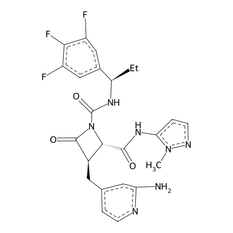 CC[C@@H](NC(=O)N1C(=O)[C@H](Cc2ccnc(N)c2)[C@H]1C(=O)Nc1ccnn1C)c1cc(F)c(F)c(F)c1